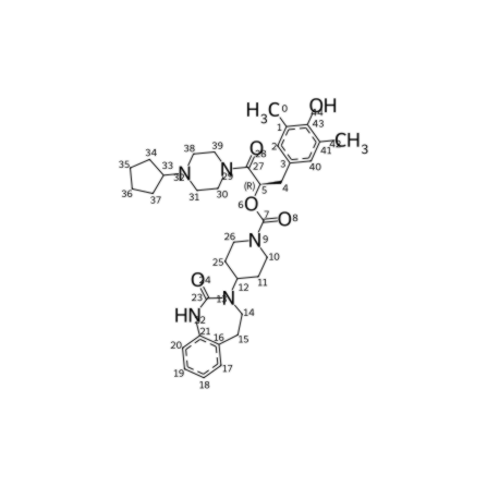 Cc1cc(C[C@@H](OC(=O)N2CCC(N3CCc4ccccc4NC3=O)CC2)C(=O)N2CCN(C3CCCC3)CC2)cc(C)c1O